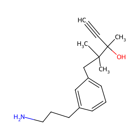 C#CC(C)(O)C(C)(C)Cc1cccc(CCCN)c1